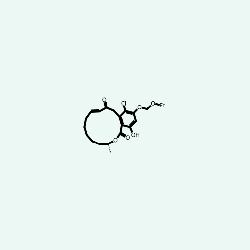 CCOCOc1cc(O)c2c(c1Cl)CC(=O)/C=C/CCCCC[C@@H](C)OC2=O